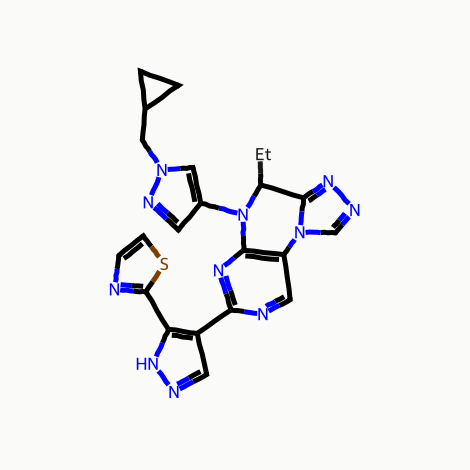 CCC1c2nncn2-c2cnc(-c3cn[nH]c3-c3nccs3)nc2N1c1cnn(CC2CC2)c1